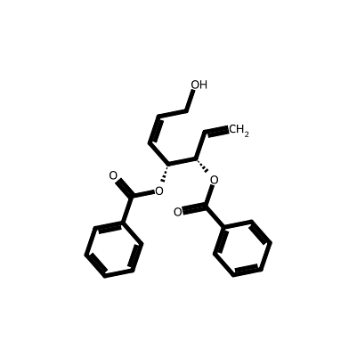 C=C[C@H](OC(=O)c1ccccc1)[C@@H](/C=C\CO)OC(=O)c1ccccc1